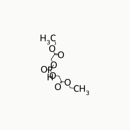 CCOC(=O)CO[PH](=O)OCC(=O)OCC